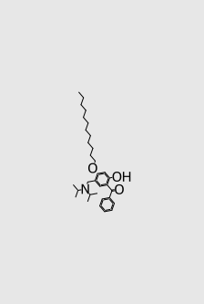 CCCCCCCCCCCCOc1cc(O)c(C(=O)c2ccccc2)cc1CN(C(C)C)C(C)C